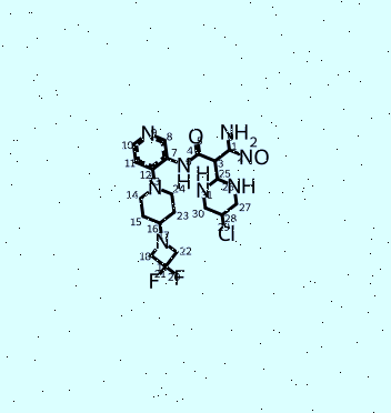 NC(N=O)C(C(=O)Nc1cnccc1N1CCC(N2CC(F)(F)C2)CC1)C1NCC(Cl)CN1